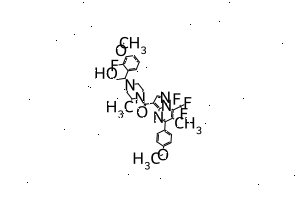 COc1ccc(-c2nc3c(C(=O)N4CCN(C(CO)c5cccc(OC)c5F)C[C@H]4C)cnn3c(C(F)(F)F)c2C)cc1